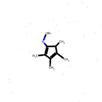 CCCC[N]C1=C(C)C(C)=C(C)C1C